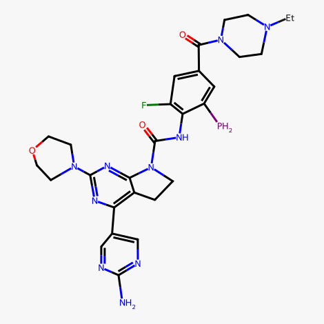 CCN1CCN(C(=O)c2cc(F)c(NC(=O)N3CCc4c(-c5cnc(N)nc5)nc(N5CCOCC5)nc43)c(P)c2)CC1